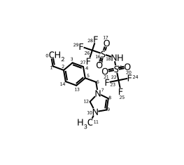 C=Cc1ccc(CN2C=CN(C)C2)cc1.O=S(=O)(NS(=O)(=O)C(F)(F)F)C(F)(F)F